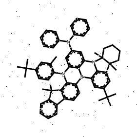 Cc1cc(C(C)(C)C)ccc1N1c2cc(N(c3ccccc3)c3ccccc3)cc3c2B(c2ccc4c(c21)C(C)(C)c1ccccc1-4)c1cc(C(C)(C)C)cc2c1N3C1(C)CCCCC21C